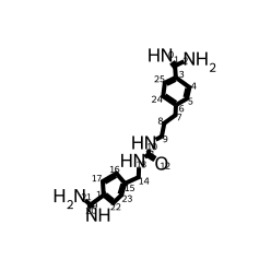 N=C(N)c1ccc(CCCNC(=O)NCc2ccc(C(=N)N)cc2)cc1